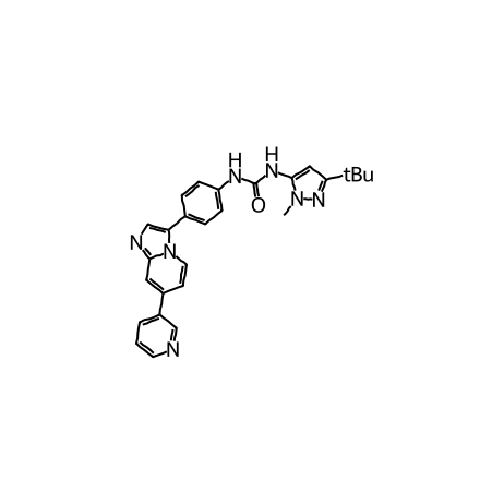 Cn1nc(C(C)(C)C)cc1NC(=O)Nc1ccc(-c2cnc3cc(-c4cccnc4)ccn23)cc1